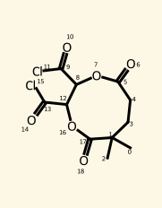 CC1(C)CCC(=O)OC(C(=O)Cl)C(C(=O)Cl)OC1=O